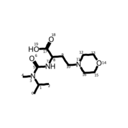 CC(C)N(C)C(=O)NC(CCN1CCOCC1)C(=O)O